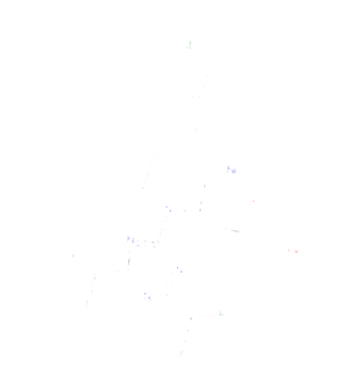 OC[C@@H](O)C[C@H]1c2[nH]c3ccc(Cl)cc3c2CCN1c1nc(C(F)F)nc(C(F)F)n1